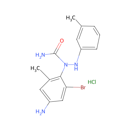 Cc1cccc(NN(C(N)=O)c2c(C)cc(N)cc2Br)c1.Cl